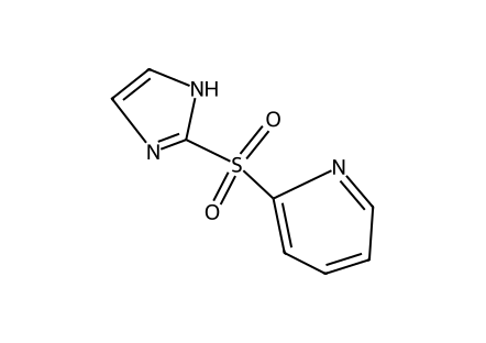 O=S(=O)(c1ccccn1)c1ncc[nH]1